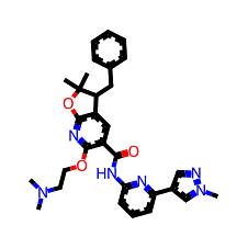 CN(C)CCOc1nc2c(cc1C(=O)Nc1cccc(-c3cnn(C)c3)n1)C(Cc1ccccc1)C(C)(C)O2